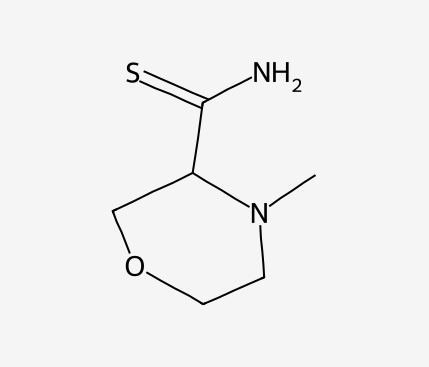 CN1CCOCC1C(N)=S